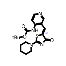 CC(C)(C)OC(=O)Nc1ccncc1/C=C1\SC(N2CCCCC2)=NC1=O